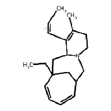 C/C=C\C1=C(C)CCN2CC3C=CC=CC(CC)(C3)CC12